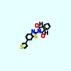 O=C1[C@@H]2C3C=CC(C3)[C@@H]2C(=O)N1c1nc2ccc(-c3ccsc3)cc2s1